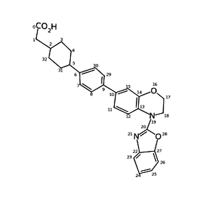 O=C(O)CC1CCC(c2ccc(-c3ccc4c(c3)OCCN4c3nc4ccccc4o3)cc2)CC1